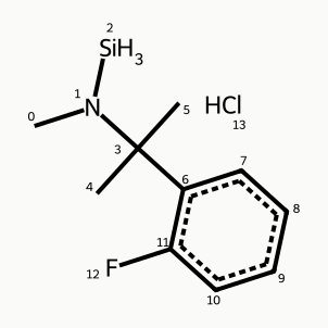 CN([SiH3])C(C)(C)c1ccccc1F.Cl